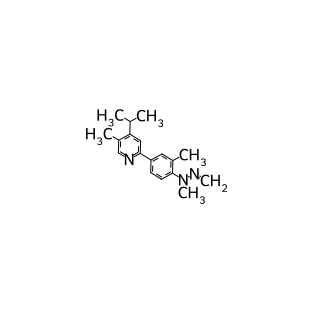 C=NN(C)c1ccc(-c2cc(C(C)C)c(C)cn2)cc1C